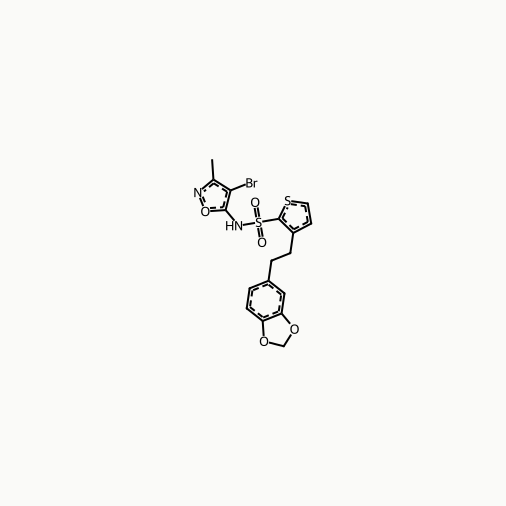 Cc1noc(NS(=O)(=O)c2sccc2CCc2ccc3c(c2)OCO3)c1Br